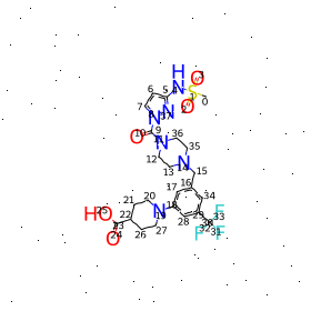 CS(=O)(=O)Nc1ccn(C(=O)N2CCN(Cc3cc(N4CCC(C(=O)O)CC4)cc(C(F)(F)F)c3)CC2)n1